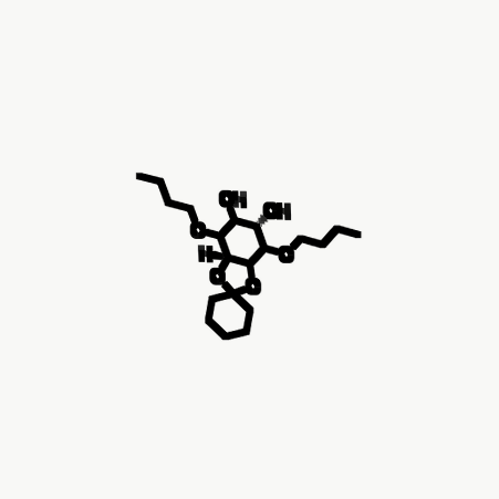 CCCCOC1C2OC3(CCCCC3)O[C@@H]2C(OCCCC)C(O)[C@@H]1O